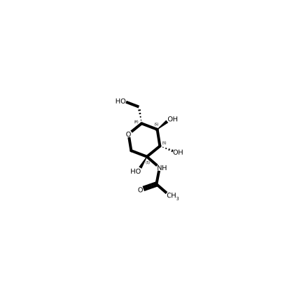 CC(=O)N[C@]1(O)CO[C@H](CO)[C@@H](O)[C@@H]1O